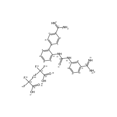 N=C(N)c1ccc(-c2ccccc2NC(=O)Nc2cccc(C(=N)N)c2)cc1.O=C(O)C(F)(F)F.O=C(O)C(F)(F)F